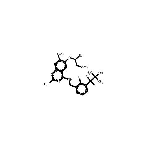 CCC(COC)Oc1cc2c(NCc3cccc(C(F)(F)C(C)(C)O)c3F)nc(C)nc2cc1OC